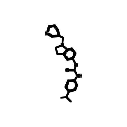 CC(C)c1ccc(NC(=O)Oc2ccc3c(c2)CCN3Cc2cccnc2)cc1